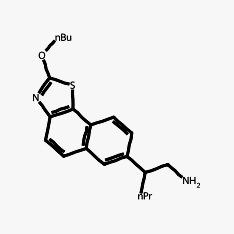 CCCCOc1nc2ccc3cc(C(CN)CCC)ccc3c2s1